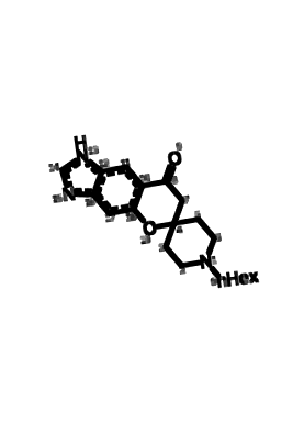 CCCCCCN1CCC2(CC1)CC(=O)c1cc3[nH]cnc3cc1O2